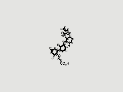 O=C(O)CCOc1c(F)cc(F)cc1-c1cccc(CC2NCCC(F)C2NS(=O)(=O)C2(F)CC2)c1F